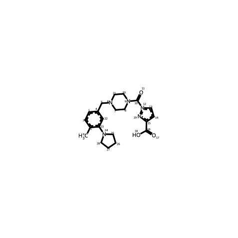 Cc1ccc(CN2CCN(C(=O)n3ccc(C(=O)O)n3)CC2)cc1N1CCCC1